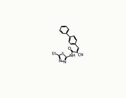 CCc1nnc(NC(=O)C(C#N)=Cc2ccc(-c3ccccc3)cc2)s1